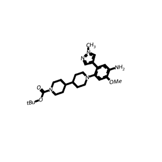 COc1cc(N2CCC(C3CCN(C(=O)OC(C)(C)C)CC3)CC2)c(-c2cnn(C)c2)cc1N